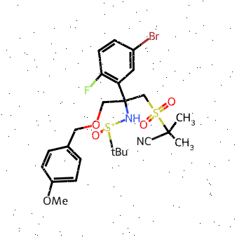 COc1ccc(COCC(CS(=O)(=O)C(C)(C)C#N)(N[S+]([O-])C(C)(C)C)c2cc(Br)ccc2F)cc1